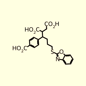 O=C(O)CC(C(=O)O)C(CCCSc1nc2ccccc2o1)c1ccc(C(=O)O)cc1